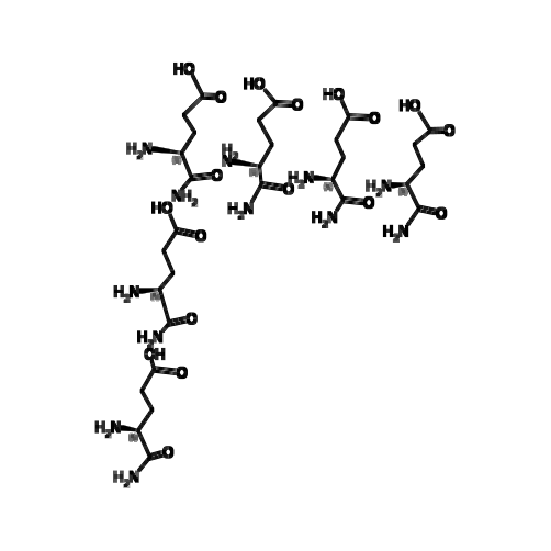 NC(=O)[C@@H](N)CCC(=O)O.NC(=O)[C@@H](N)CCC(=O)O.NC(=O)[C@@H](N)CCC(=O)O.NC(=O)[C@@H](N)CCC(=O)O.NC(=O)[C@@H](N)CCC(=O)O.NC(=O)[C@@H](N)CCC(=O)O